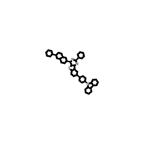 c1ccc(-c2ccc3cc(-c4nc(-c5ccccc5)nc5c4sc4ccc(-c6ccc(-n7c8ccccc8c8ccccc87)cc6)cc45)ccc3c2)cc1